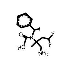 CC(CN)(CC(F)F)N(C(=O)O)C(I)c1ccccc1